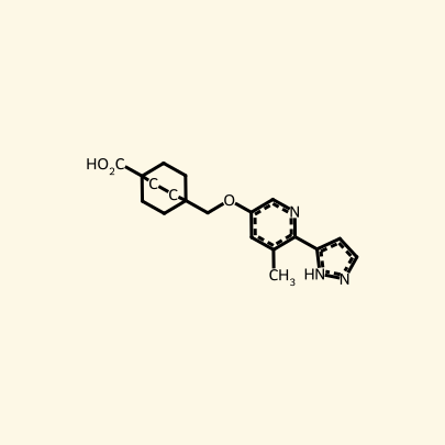 Cc1cc(OCC23CCC(C(=O)O)(CC2)CC3)cnc1-c1ccn[nH]1